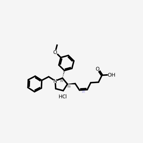 COc1cccc([C@@H]2[C@@H](C/C=C\CCC(=O)O)CCN2Cc2ccccc2)c1.Cl